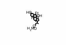 CC[C@@H]1C2C[C@H](O)CC[C@@]2(C)[C@H]2CCC3(C)C(C(C)CCOC(N)=O)CC[C@H]3C2[C@@H]1O